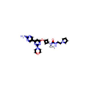 CN(C(=O)NCCN1CCCC1)[C@H]1C[C@H](Oc2cc(-c3cnc(N)nc3)nc(N3CCOCC3)n2)C1